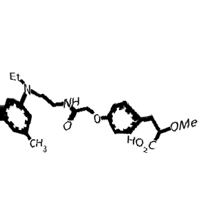 CCN(CCNC(=O)COc1ccc(CC(OC)C(=O)O)cc1)c1cccc(C)c1